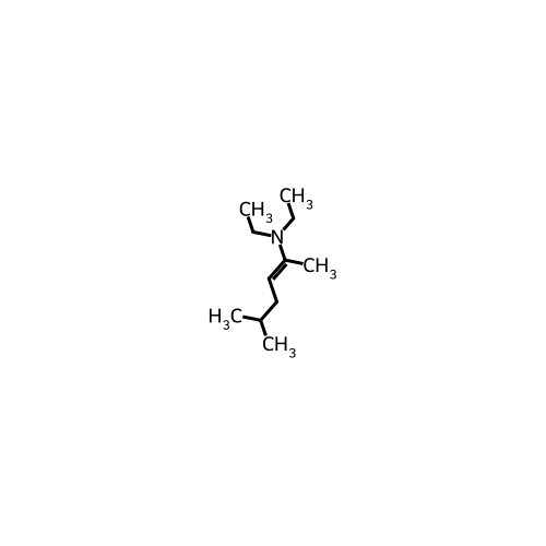 CCN(CC)/C(C)=C/CC(C)C